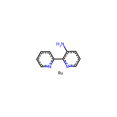 Nc1cccnc1-c1ccccn1.[Ru]